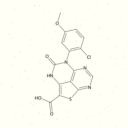 COc1ccc(Cl)c(N2C(=O)Nc3c(C(=O)O)sc4ncnc2c34)c1